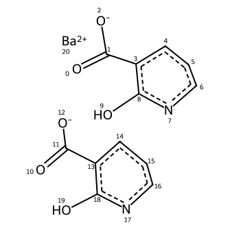 O=C([O-])c1cccnc1O.O=C([O-])c1cccnc1O.[Ba+2]